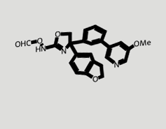 COc1cncc(-c2cccc(C3(c4ccc5c(c4)CCO5)COC(NOC=O)=N3)c2)c1